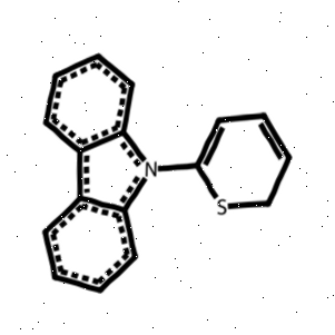 C1=CCSC(n2c3ccccc3c3ccccc32)=C1